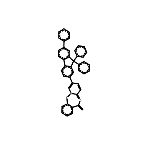 C=C1N=C2C=CC(c3ccc4c(c3)C(c3ccccc3)(c3ccccc3)c3cc(-c5ccncc5)ccc3-4)=CN2Sc2ccccc21